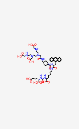 O=C(O)CCC[C@H](NC(=O)NC(CCCCCNC(=O)[C@H](Cc1c2ccccc2cc2ccccc12)NC(=O)C1CCC(CNC(=O)CN(CCNCC(=O)O)CCN(CCNCC(=O)O)CC(=O)O)CC1)C(=O)O)C(=O)O